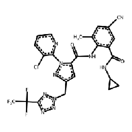 Cc1cc(C#N)cc(C(=O)NC2CC2)c1NC(=O)c1cc(Cn2nnc(C(F)(F)C(F)(F)F)n2)nn1-c1ncccc1Cl